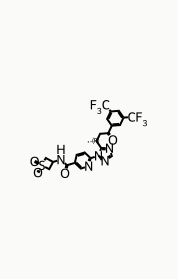 C[C@H](CC(=O)c1cc(C(F)(F)F)cc(C(F)(F)F)c1)c1ncnn1-c1ccc(C(=O)NC2CS(=O)(=O)C2)cn1